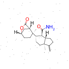 C=C1CC[C@H]2[C@H](C(N)=O)[C@@H]([C@@]3(C)CC[C@H]4C[C@@H]3C(=O)O4)CC[C@]12C